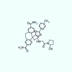 Cc1ccc(-c2nnc(C3(CCNCC(=O)N4CCCC4C#N)c4ccc(C(N)=O)cc4CCc4cc(C(N)=O)ccc43)o2)cc1